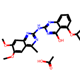 CC(=O)O.COc1cc2nc(Nc3nc(O)c4c(OC(C)C)cccc4n3)nc(C)c2cc1OC